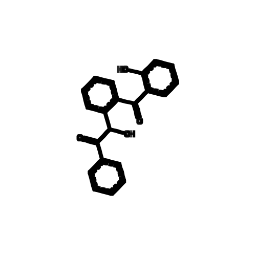 O=C(c1ccccc1O)c1ccccc1C(O)C(=O)c1ccccc1